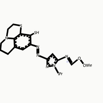 COO/C=N/c1cc(N=Nc2cc3c4c(c2S)SCCN4CCC3)nn1C(C)C